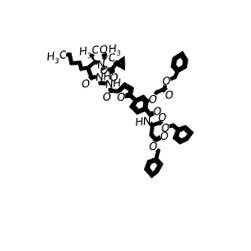 CCCCCC(C(=O)NCNC(=O)c1ccc(-c2ccc(C(=O)NC(CC(=O)OCc3ccccc3)C(=O)OCc3ccccc3)c(OCC(=O)OCc3ccccc3)c2)o1)[C@@H](CC)N(C=O)OC(=O)C1(C)CC1